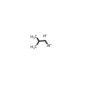 CC(C)[CH2][Al+].[H-]